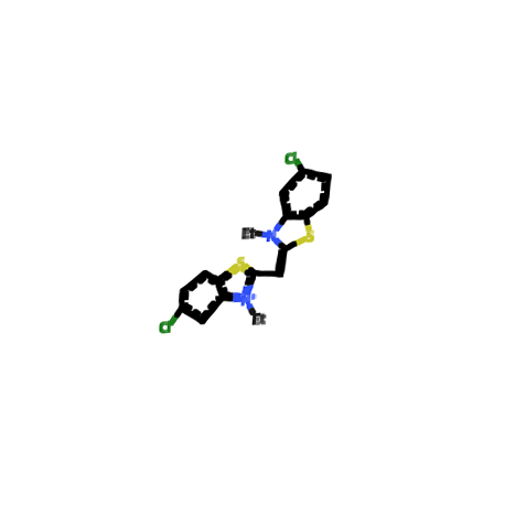 CCN1C(=Cc2sc3ccc(Cl)cc3[n+]2CC)Sc2ccc(Cl)cc21